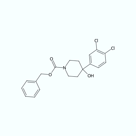 O=C(OCc1ccccc1)N1CCC(O)(c2ccc(Cl)c(Cl)c2)CC1